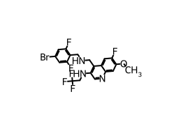 COc1cc2ncc(NCC(F)(F)F)c(CNCc3c(F)cc(Br)cc3F)c2cc1F